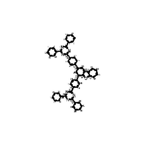 c1ccc(-c2nc(-c3ccccc3)nc(-c3ccc(-c4cc(-c5ccc(-c6nc(-c7ccccc7)nc(-c7ccccc7)n6)cc5)c5oc6ccccc6c5c4)cc3)n2)cc1